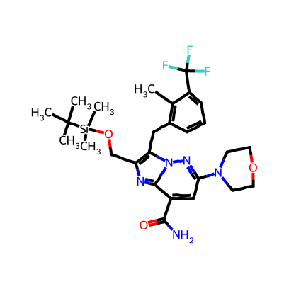 Cc1c(Cc2c(CO[Si](C)(C)C(C)(C)C)nc3c(C(N)=O)cc(N4CCOCC4)nn23)cccc1C(F)(F)F